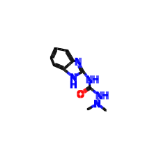 CN(C)NC(=O)Nc1nc2ccccc2[nH]1